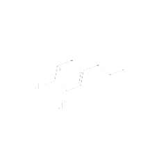 CCCC1=C[C@H](F)C(F)[C@H](F)C1